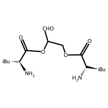 CC[C@H](C)[C@H](N)C(=O)OCC(C=O)OC(=O)[C@@H](N)[C@@H](C)CC